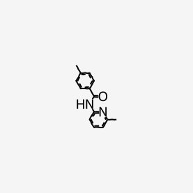 Cc1ccc(C(=O)Nc2cccc(C)n2)cc1